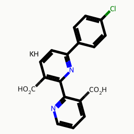 O=C(O)c1cccnc1-c1nc(-c2ccc(Cl)cc2)ccc1C(=O)O.[KH]